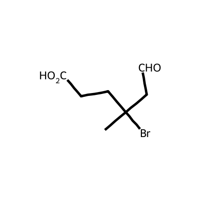 CC(Br)(CC=O)CCC(=O)O